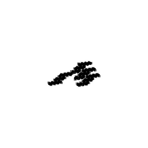 CCCCC1CCC(C2CCC(OC)CC2)C(C)C1.CCCCC1CCC(C2CCC(OCC)CC2)C(C)C1.CCCCC1CCC(C2CCC(OCCC)CC2)C(C)C1.CCCCOC1CCC(C2CCC(CCCC)CC2C)CC1